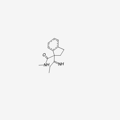 CCC(=N)C1(C(=O)NC)CCc2ccccc21